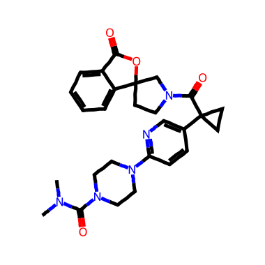 CN(C)C(=O)N1CCN(c2ccc(C3(C(=O)N4CCC5(C4)OC(=O)c4ccccc45)CC3)cn2)CC1